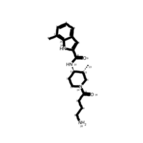 Cc1cccc2cc(C(=O)N[C@H]3CCN(C(=O)CCCN)C[C@H]3C)[nH]c12